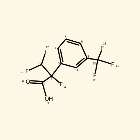 O=C(O)C(F)(c1cccc(C(F)(F)F)c1)C(F)I